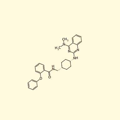 CN(C)c1nc(N[C@H]2CC[C@@H](CNC(=O)c3ccccc3Oc3ccccc3)CC2)nc2ccccc12